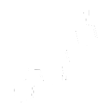 CN(C/C=C/c1cccc(Cl)c1)Cc1coc2ccccc12